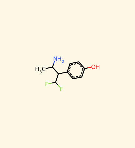 CC(N)C(c1ccc(O)cc1)C(F)F